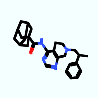 CC(CN1CCc2c(ncnc2NC(=O)C23CC4CC(CC(C4)C2)C3)C1)c1ccccc1